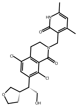 Cc1cc(C)c(CN2CCc3c(Cl)cc([C@H](CO)[C@@H]4CCOC4)c(Cl)c3C2=O)c(=O)[nH]1